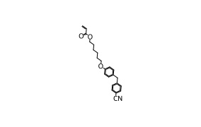 C=CC(=O)OCCCCCCOc1ccc(Cc2ccc(C#N)cc2)cc1